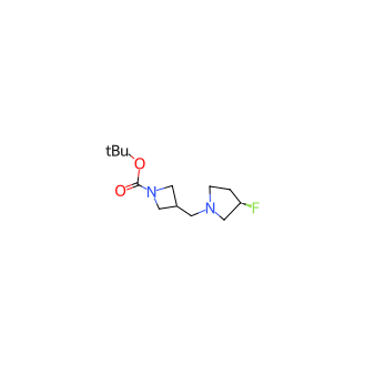 CC(C)(C)OC(=O)N1CC(CN2CC[C@@H](F)C2)C1